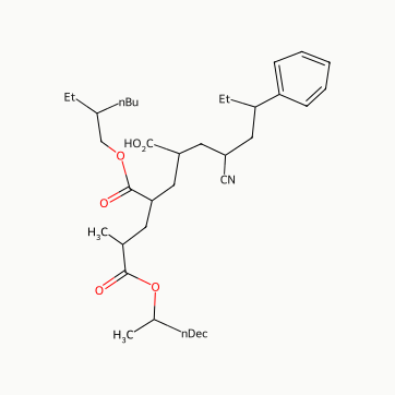 CCCCCCCCCCC(C)OC(=O)C(C)CC(CC(CC(C#N)CC(CC)c1ccccc1)C(=O)O)C(=O)OCC(CC)CCCC